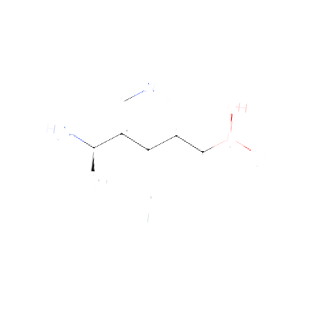 Cl.Cl.NC[C@H](CCCB(O)O)[C@H](N)C(=O)O